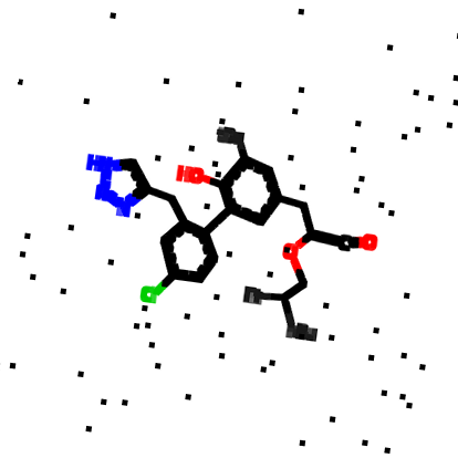 CCCCC(CC)COC(=C=O)Cc1cc(-c2ccc(Cl)cc2Cc2c[nH]nn2)c(O)c(C(C)(C)C)c1